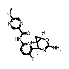 COc1cnc(C(=O)Nc2ccc(F)c([C@]3(C)N=C(N)O[C@@H]4C[C@@H]43)n2)cn1